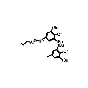 CC(C)[CH2][Al+2][CH2]C(C)C.Cc1cc(C(C)(C)C)c([O-])c(C(C)(C)C)c1.Cc1cc(C(C)(C)C)c([O-])c(C(C)(C)C)c1